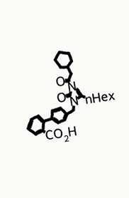 CCCCCCc1cn(C(=O)CC2CCCCC2)c(=O)n1Cc1ccc(-c2ccccc2C(=O)O)cc1